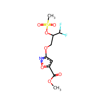 COC(=O)c1cc(OCC(OS(C)(=O)=O)C(F)F)no1